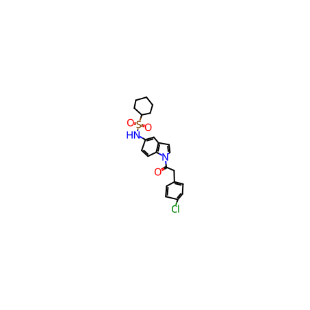 O=C(Cc1ccc(Cl)cc1)n1ccc2cc(NS(=O)(=O)C3CCCCC3)ccc21